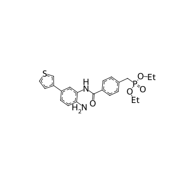 CCOP(=O)(Cc1ccc(C(=O)Nc2cc(-c3ccsc3)ccc2N)cc1)OCC